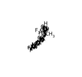 CC(CO[C@@H]1CCN(C2CCN(c3ncc(C(F)F)cn3)CC2)C1=O)Nc1cn[nH]c(=O)c1C(F)(F)F